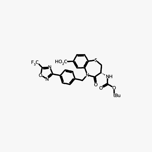 CC(C)(C)OC(=O)N[C@H]1CSc2ccc(C(=O)O)cc2N(Cc2ccc(-c3noc(C(F)(F)F)n3)cc2)C1=O